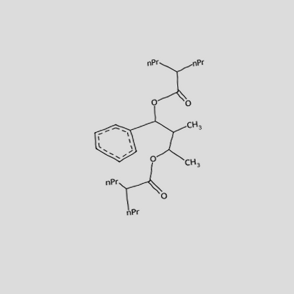 CCCC(CCC)C(=O)OC(C)C(C)C(OC(=O)C(CCC)CCC)c1ccccc1